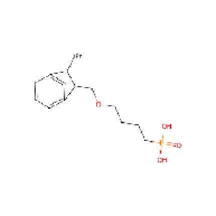 CC(C)C1c2cccc(c2)C1COCCCCP(=O)(O)O